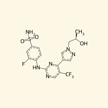 C[C@@H](O)Cn1cc(-c2nc(Nc3ccc(S(N)(=O)=O)cc3F)ncc2C(F)(F)F)cn1